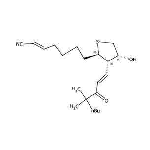 CCCCC(C)(C)C(=O)C=C[C@H]1[C@@H](O)CS[C@@H]1CCCCC=CC#N